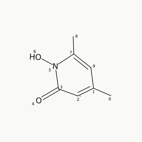 Cc1[c]c(=O)n(O)c(C)c1